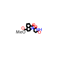 COC(=O)c1ccc2c3c(cccc13)C(=O)N2C1CCC(=O)NC1=O